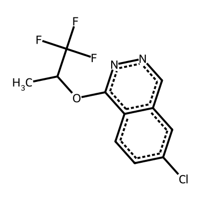 CC(Oc1nncc2cc(Cl)ccc12)C(F)(F)F